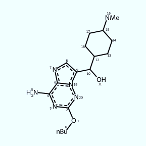 CCCCOc1nc(N)c2ncc(C(O)C3CCC(NC)CC3)n2n1